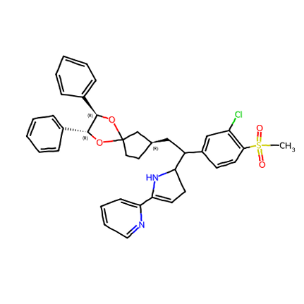 CS(=O)(=O)c1ccc(C(C[C@H]2CCC3(C2)O[C@H](c2ccccc2)[C@@H](c2ccccc2)O3)C2CC=C(c3ccccn3)N2)cc1Cl